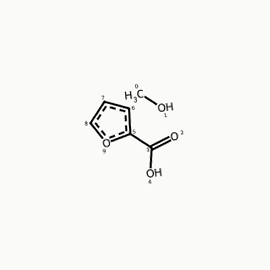 CO.O=C(O)c1ccco1